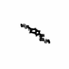 CN1CC2CC(NC(=O)O)CC2C1